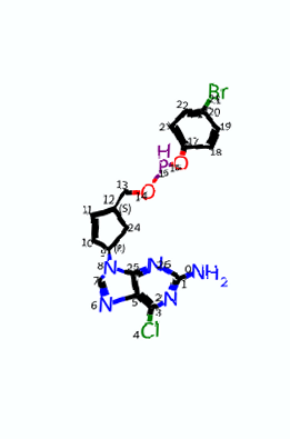 Nc1nc(Cl)c2ncn([C@H]3C=C[C@@H](COPOc4ccc(Br)cc4)C3)c2n1